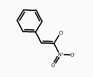 O=[N+]([O-])/C(Cl)=C/c1ccccc1